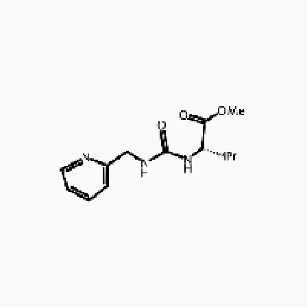 COC(=O)[C@@H](NC(=O)NCc1ccccn1)C(C)C